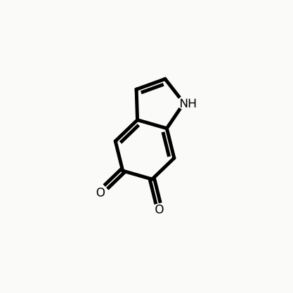 O=C1C=c2cc[nH]c2=CC1=O